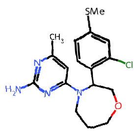 CSc1ccc(C2COCCCN2c2cc(C)nc(N)n2)c(Cl)c1